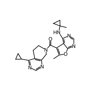 Cc1oc2ncnc(NC3(C)CC3)c2c1C(=O)N1CCc2c(ncnc2C2CC2)C1